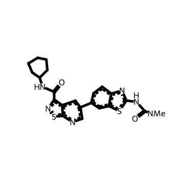 CNC(=O)Nc1nc2ccc(-c3cnc4snc(C(=O)NC5CCCCC5)c4c3)cc2s1